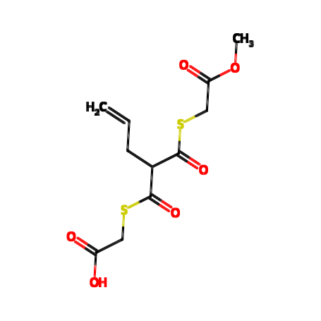 C=CCC(C(=O)SCC(=O)O)C(=O)SCC(=O)OC